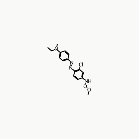 CCN(C)c1ccc(N=Nc2ccc(NOOC)cc2Cl)cc1